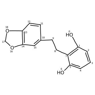 Oc1cccc(O)c1CCc1ccc2c(c1)OCO2